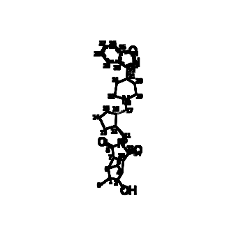 CC1C(O)C2CC1C1C(=O)N(C[C@H]3CCC[C@@H]3CN3CCC(c4noc5ccccc45)CC3)C(=O)C21